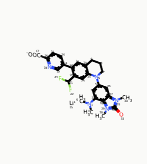 CN(C)c1cc(N2CCCc3cc(-c4ccc(C(=O)[O-])nc4)c(C(F)F)cc32)cc2c1n(C)c(=O)n2C.[Li+]